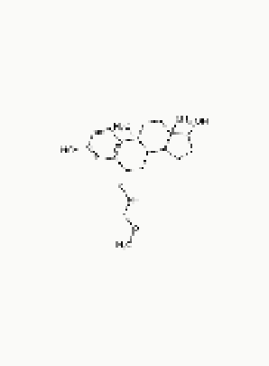 COCNC[C@H]1CC2C3CCC(O)C3(C)CC[C@]2(C)c2ccc(O)cc21